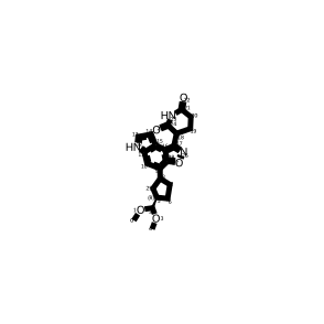 COC(OC)[C@@H]1CCC(c2cc3[nH]ccc3c3c(C4CCC(=O)NC4=O)noc23)C1